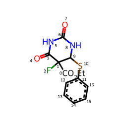 CCOC(=O)C1(F)C(=O)NC(=O)NC1Sc1ccccc1